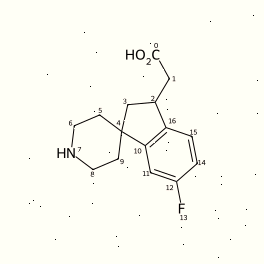 O=C(O)CC1CC2(CCNCC2)c2cc(F)ccc21